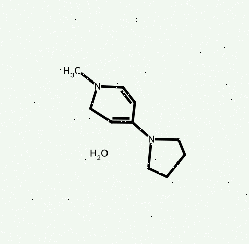 CN1C=CC(N2CCCC2)=CC1.O